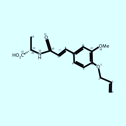 C=CCOc1ccc(/C=C/C(=O)N[C@@H](C)C(=O)O)cc1OC